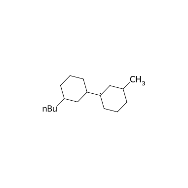 CCCCC1CCCC([C]2CCCC(C)C2)C1